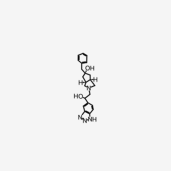 OC(CN1C[C@@H]2C[C@](O)(Cc3ccccc3)C[C@@H]2C1)c1ccc2[nH]nnc2c1